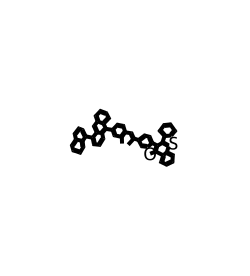 C/C(=C\c1ccc(-c2c3ccccc3cc3c(-c4cccc5ccccc45)cccc23)cc1C)c1ccc2c(c1)oc1c3ccccc3c3sc4ccccc4c3c21